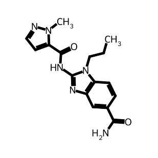 CCCn1c(NC(=O)c2ccnn2C)nc2cc(C(N)=O)ccc21